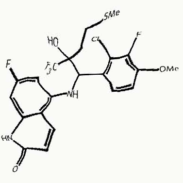 COc1ccc(C(Nc2cc(F)cc3[nH]c(=O)ccc23)C(O)(CCSC)C(F)(F)F)c(Cl)c1F